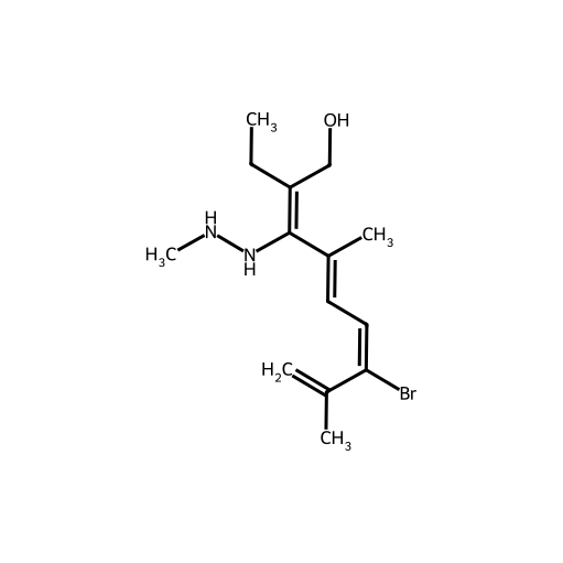 C=C(C)\C(Br)=C/C=C(C)/C(NNC)=C(/CC)CO